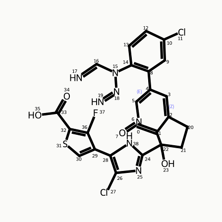 C=C1/C(=C\C(=C/N=O)c2cc(Cl)ccc2N(C=N)N=N)CCC1(O)c1nc(Cl)c(-c2csc(C(=O)O)c2F)[nH]1